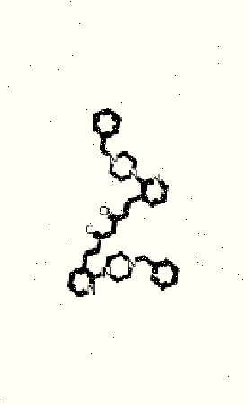 O=C(C=Cc1cccnc1N1CCN(Cc2ccccc2)CC1)CC(=O)C=Cc1cccnc1N1CCN(Cc2ccccc2)CC1